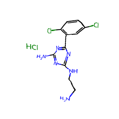 Cl.NCCNc1nc(N)nc(-c2cc(Cl)ccc2Cl)n1